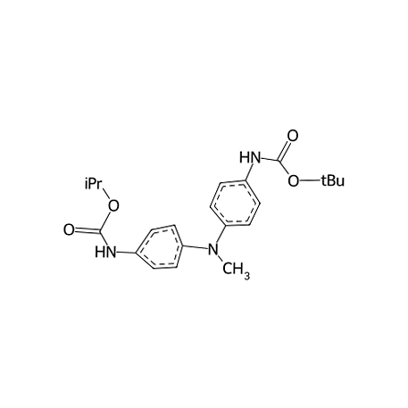 CC(C)OC(=O)Nc1ccc(N(C)c2ccc(NC(=O)OC(C)(C)C)cc2)cc1